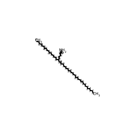 CCCCCCCCCCCCCCCCCCCCCCCCCCCCCCC(C=CC=CC(N)=O)CCCCCCCCCCCCCCCCCC